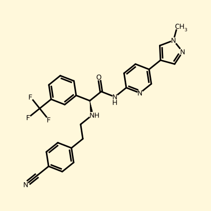 Cn1cc(-c2ccc(NC(=O)[C@@H](NCCc3ccc(C#N)cc3)c3cccc(C(F)(F)F)c3)nc2)cn1